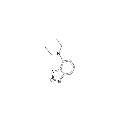 CCN(CC)c1cccc2nonc12